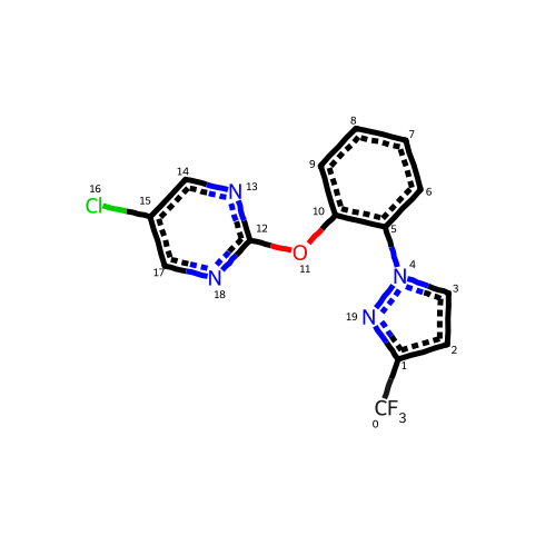 FC(F)(F)c1ccn(-c2ccccc2Oc2ncc(Cl)cn2)n1